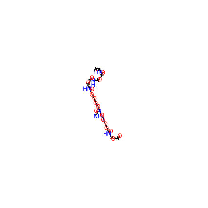 CCC(C)(C)CC(C)(C)CNC(=O)C(C)(C)CCOC(C)(C)CCNC(=O)C(C)COC(C)(C)CCNC(=O)CCOCCOCCOCCOCCN(CCOCCOCCOCCOCCC(=O)NCCC(C)(C)OCCC(C)(C)C=O)C(=O)CCN